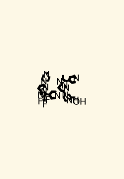 CN1CCN(c2ccc3nc(C(F)(F)F)c(-c4ccncc4)n3n2)CC1.Cc1nc2ccc(N3CCNC(CO)C3)nn2c1-c1ccncc1